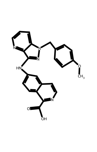 COc1ccc(Cn2nc(Nc3ccc4c(C(=O)O)nccc4c3)c3ncccc32)cc1